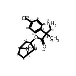 CN1C2CCC1CC(OC(=O)C(C)(CN)c1ccc(Cl)cc1)C2